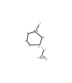 CC[C@@H]1CCCN(I)C1